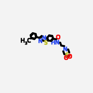 Cc1cccc(-c2cn3c(n2)sc2cc(C(=O)NCCCN4CCS(=O)(=O)CC4)ccc23)c1